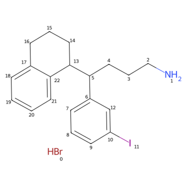 Br.NCCCC(c1cccc(I)c1)C1CCCc2ccccc21